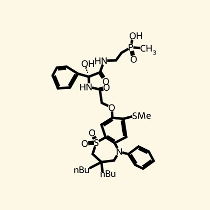 CCCCC1(CCCC)CN(c2ccccc2)c2cc(SC)c(OCC(=O)N[C@](O)(C(=O)NCCP(C)(=O)O)c3ccccc3)cc2S(=O)(=O)C1